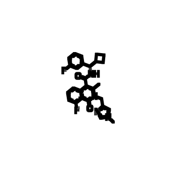 Cc1c(C(=O)N[C@H](c2cccc(F)c2)C2CCC2)c2cccc(F)c2c(=O)n1Cc1cn(C)cn1